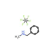 C[NH2+]Cc1ccccc1.[F][Sb-]([F])([F])([F])([F])[F]